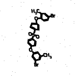 Cc1cc(Br)cc(Oc2ccc(S(=O)(=O)c3ccc(Oc4ccc(Br)cc4C)cc3)cc2)c1